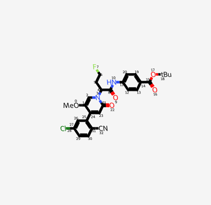 COc1cn(C(CCF)C(=O)Nc2ccc(C(=O)OC(C)(C)C)cc2)c(=O)cc1-c1cc(Cl)ccc1C#N